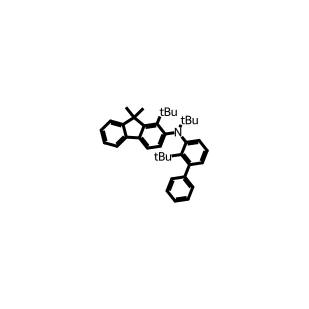 CC(C)(C)c1c(-c2ccccc2)cccc1N(c1ccc2c(c1C(C)(C)C)C(C)(C)c1ccccc1-2)C(C)(C)C